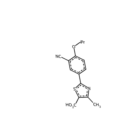 Cc1nc(-c2ccc(OC(C)C)c(C#N)c2)sc1C(=O)O